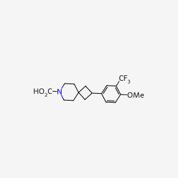 COc1ccc(C2CC3(CCN(C(=O)O)CC3)C2)cc1C(F)(F)F